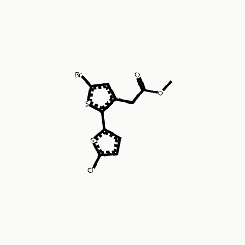 COC(=O)Cc1cc(Br)sc1-c1ccc(Cl)s1